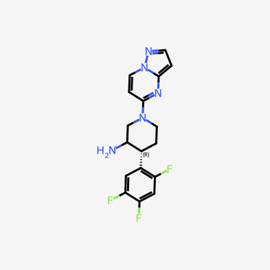 NC1CN(c2ccn3nccc3n2)CC[C@@H]1c1cc(F)c(F)cc1F